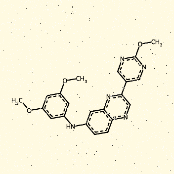 COc1cc(Nc2ccc3ncc(-c4cnc(OC)nc4)nc3c2)cc(OC)c1